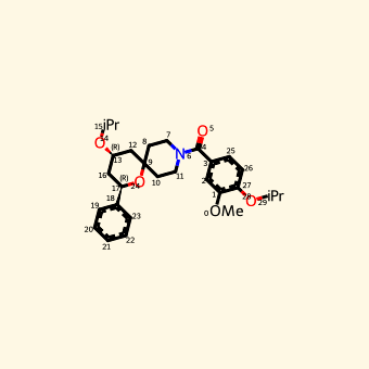 COc1cc(C(=O)N2CCC3(CC2)C[C@H](OC(C)C)C[C@H](c2ccccc2)O3)ccc1OC(C)C